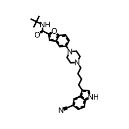 CC(C)(C)NC(=O)c1cc2cc(N3CCN(CCCCc4c[nH]c5ccc(C#N)cc45)CC3)ccc2o1